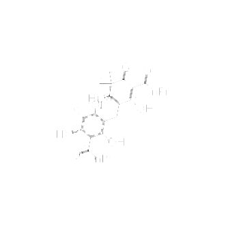 CCCC(=O)C1=C(O)C(Cc2c(O)c(C)c(O)c(C(=O)CCC)c2O)=C(O)C(C)(C)C1=O